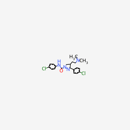 CN(C)CCC1CN(C(=O)Nc2ccc(Cl)cc2)N=C1c1ccc(Cl)cc1